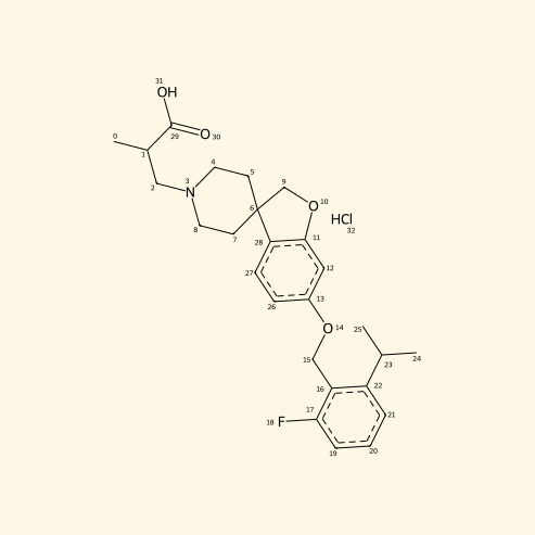 CC(CN1CCC2(CC1)COc1cc(OCc3c(F)cccc3C(C)C)ccc12)C(=O)O.Cl